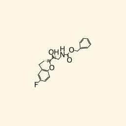 O=C(NC[C@H](O)[C@H]1CCc2cc(F)ccc2O1)OCc1ccccc1